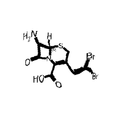 NC1C(=O)N2C(C(=O)O)=C(C=C(Br)Br)CS[C@@H]12